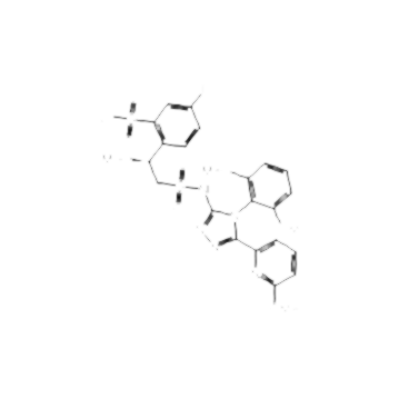 COc1cccc(-c2nnc(NS(=O)(=O)C[C@@H](OC)c3ccc(F)cc3S(C)(=O)=O)n2-c2c(OC)cccc2OC)n1